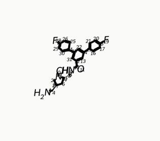 CN1C[C@H](CN)C[C@H]1CNC(=O)c1cc(-c2ccc(F)cc2)cc(-c2ccc(F)cc2)c1